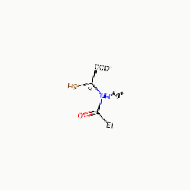 CCC(=O)N[C@@H](S)C(=O)[O-].[Ag+]